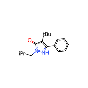 CC(C)Cn1[nH]c(-c2ccccc2)c(C(C)(C)C)c1=O